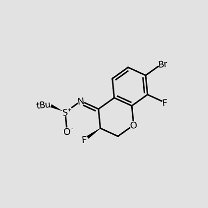 CC(C)(C)[S@+]([O-])N=C1c2ccc(Br)c(F)c2OC[C@H]1F